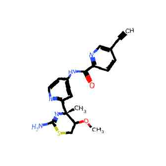 C#Cc1ccc(C(=O)Nc2ccnc([C@@]3(C)N=C(N)SCC3OC)c2)nc1